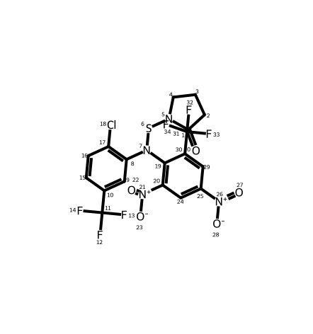 O=C1CCCN1SN(c1cc(C(F)(F)F)ccc1Cl)c1c([N+](=O)[O-])cc([N+](=O)[O-])cc1C(F)(F)F